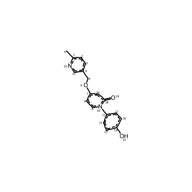 Cc1ccc(COc2ccn(-c3ccc(O)cc3)c(=O)c2)cn1